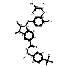 CC1c2cc(C(=O)N[C@@H](C)c3ccc(C(C)(C)C)cc3)ccc2N(Cc2ccc(F)c(O[C@@H](C)C(=O)O)c2)C1C